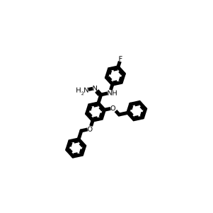 NN=C(Nc1ccc(F)cc1)c1ccc(OCc2ccccc2)cc1OCc1ccccc1